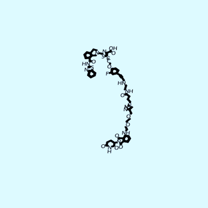 O=C(CCCn1cc(COCCOCCNc2cccc3c2C(=O)N(C2CCC(=O)NC2=O)C3=O)nn1)NCCNCC#Cc1ccc(OCCCc2sc(N3CCc4cccc(C(=O)Nc5nc6ccccc6s5)c4C3)nc2C(=O)O)c(F)c1